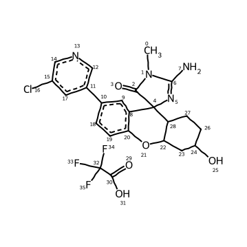 CN1C(=O)C2(N=C1N)c1cc(-c3cncc(Cl)c3)ccc1OC1CC(O)CCC12.O=C(O)C(F)(F)F